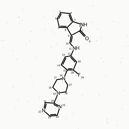 O=C1Nc2ccccc2C1=CNc1ccc(N2CCN(c3cnccn3)CC2)c(F)c1